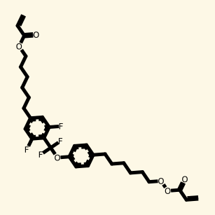 C=CC(=O)OCCCCCCc1cc(F)c(C(F)(F)Oc2ccc(CCCCCCOOC(=O)C=C)cc2)c(F)c1